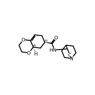 O=C(NC1CN2CCC1CC2)[C@@H]1CC=C2OCCO[C@@H]2C1